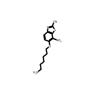 N#Cc1nc2ccc(OCCCCCCN)c([N+](=O)[O-])c2s1